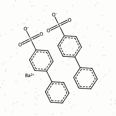 O=S(=O)([O-])c1ccc(-c2ccccc2)cc1.O=S(=O)([O-])c1ccc(-c2ccccc2)cc1.[Ba+2]